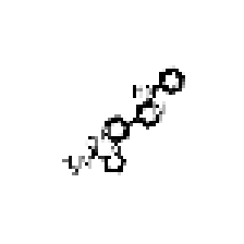 NC(=O)[C@@H]1CCCN1c1cc(-c2ccnc(Nc3ccccc3)c2)ccn1